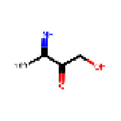 CC[CH]C(=N)C(=O)CO